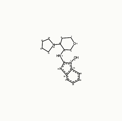 On1c(NC2COCCC2N2CCCC2)nc2ccccc21